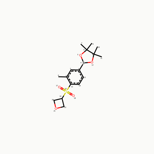 Cc1cc(B2OC(C)(C)C(C)(C)O2)ccc1S(=O)(=O)C1COC1